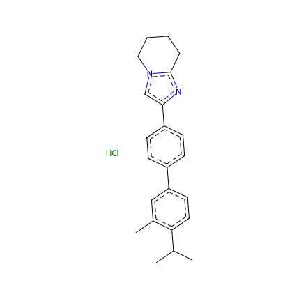 Cc1cc(-c2ccc(-c3cn4c(n3)CCCC4)cc2)ccc1C(C)C.Cl